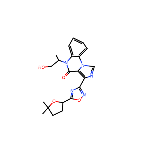 CC(CO)n1c(=O)c2c(-c3noc(C4CCC(C)(C)O4)n3)ncn2c2ccccc21